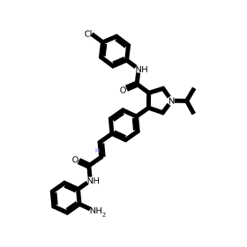 CC(C)N1CC(C(=O)Nc2ccc(Cl)cc2)C(c2ccc(/C=C/C(=O)Nc3ccccc3N)cc2)C1